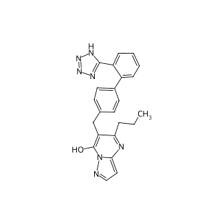 CCCc1nc2ccnn2c(O)c1Cc1ccc(-c2ccccc2-c2nnn[nH]2)cc1